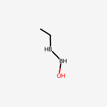 CCBBO